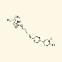 CC(C)(C)NC(=O)OCCCC=Cc1ccc(-c2ccc(Cl)c(Cl)c2)cc1